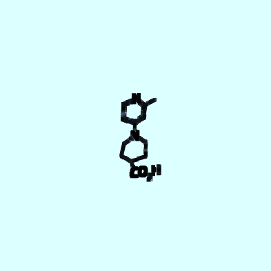 Cc1cc(N2CCC(C(=O)O)CC2)ccn1